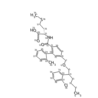 CCCCC(COCc1ccc(C(=O)N[C@@H](CCSC)C(=O)O)c(-c2ccccc2C)c1)c1ccccc1Cl